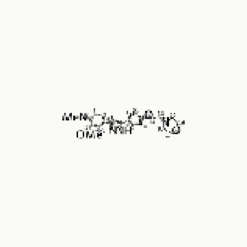 CNc1ccc(-c2cc(-c3ccc(OCCN4CCOCC4)cc3)[nH]n2)c(OC)c1